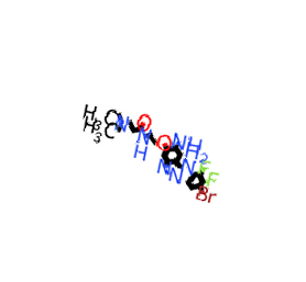 CCN(CC)CCC(=O)NCCOc1cc2ncnc(Nc3ccc(Br)c(F)c3F)c2cc1N